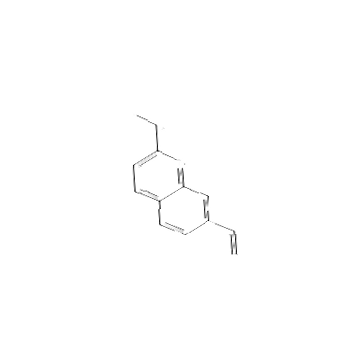 C=Cc1ccc2ccc([C@@H](C)O)nc2c1